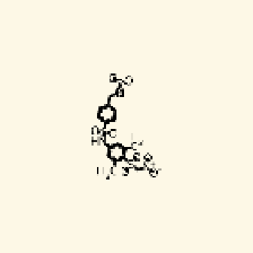 Cc1cc(NS(=O)(=O)c2ccc(CO[SH](=O)=O)cc2)cc(C)c1S(=O)(=O)C[N+](=O)[O-]